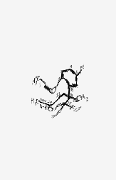 COc1ccc(F)cc1C(C)(CC(C)O)C(F)(F)F